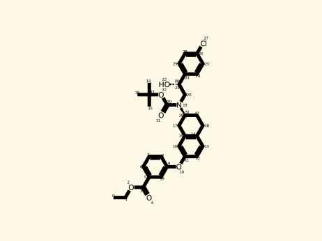 CCOC(=O)c1cccc(Oc2ccc3c(c2)C[C@@H](N(C[C@H](O)c2ccc(Cl)cc2)C(=O)OC(C)(C)C)CC3)c1